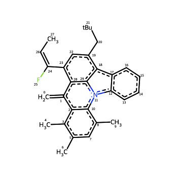 C=c1c2c(C)c(C)cc(C)c2n2c3ccccc3c3c(CC(C)(C)C)cc(/C(F)=C\C)c1c32